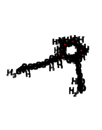 C/C=N/OCC(=O)NCCOCCOCCOCCOCCOCCNC(=O)COCC(=O)NCCCC[C@@H]1NC(=O)CSC[C@@H](C(=O)NCCOCCOCCOCCNC(=O)COCC(N)=O)NC(=O)[C@H](Cc2ccccc2)NC(=O)[C@H](CS)NC(=O)[C@H](CC(=O)O)NC(=O)CNC(=O)[C@H](CCCNC(=N)N)NC(=O)[C@H](CS)NC1=O